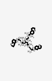 CC(C)(CC(CC(C)(C)OCC(C)(C)Oc1ccc2ncccc2c1)OC(C)(C)COC(C)(C)c1ccc2ncccc2c1)OCCC(C)(C)Oc1ccc2ncccc2c1